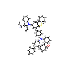 C=Cc1c(/C=C\C)c2ccccc2n1-c1cc(-c2ccc(N(c3ccc(-c4ccccc4)cc3)c3cccc4oc5ccccc5c34)cc2)c2sc3ccccc3c2c1